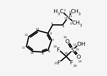 C[N+](C)(C)CCC1=CC=CC=CC=C1.O=S(=O)(O)C(F)(F)F